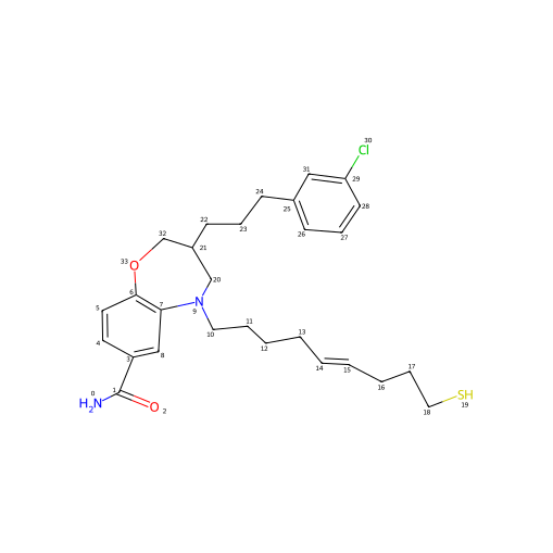 NC(=O)c1ccc2c(c1)N(CCCC/C=C/CCCS)CC(CCCc1cccc(Cl)c1)CO2